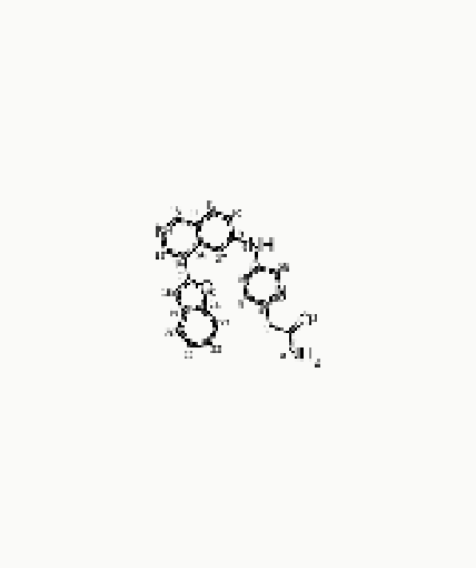 NC(=O)Cc1ccc(Nc2ccc3cncc(-c4cc5ccccc5o4)c3c2)cn1